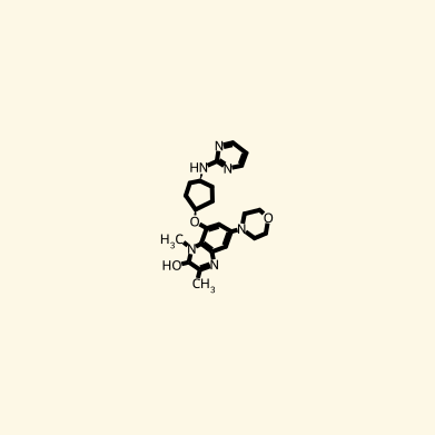 CC1=Nc2cc(N3CCOCC3)cc(O[C@H]3CC[C@@H](Nc4ncccn4)CC3)c2N(C)C1O